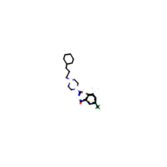 O=c1nc(N2CCN(CCCC3CCCCC3)CC2)sc2c([N+](=O)[O-])cc(C(F)(F)F)cc12